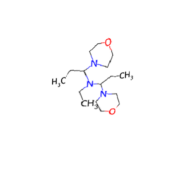 CCC(N1CCOCC1)N(CC)C(CC)N1CCOCC1